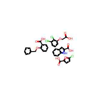 O=C(O)COc1cccc(Cl)c1Cl.O=C(O)c1cc2ccccc2[nH]1.O=C(O)c1ccc(Cl)o1.O=C(O)c1ccccc1OCc1ccccc1